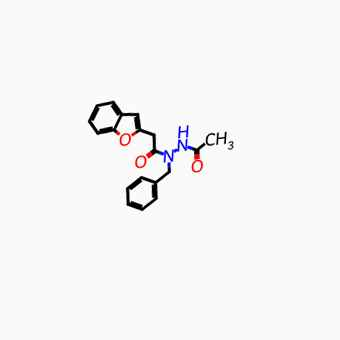 CC(=O)NN(Cc1ccccc1)C(=O)Cc1cc2ccccc2o1